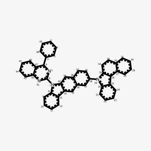 c1ccc(-c2nc(-n3c4ccccc4c4cc5cc(-n6c7ccccc7c7c8ccccc8ccc76)ccc5cc43)nc3ccccc23)cc1